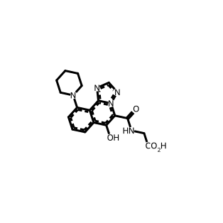 O=C(O)CNC(=O)c1c(O)c2cccc(N3CCCCC3)c2c2ncnn12